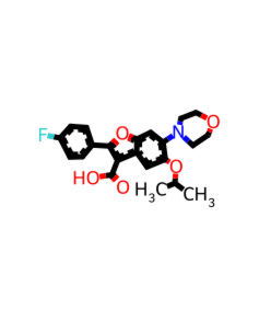 CC(C)Oc1cc2c(C(=O)O)c(-c3ccc(F)cc3)oc2cc1N1CCOCC1